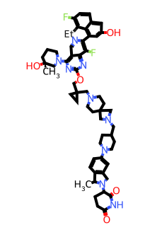 CCc1c(F)ccc2cc(O)cc(-c3ncc4c(N5CCC[C@@](C)(O)C5)nc(OCC5(CN6CCC7(CC6)CN(CC6CCN(c8ccc9c(c8)CN(C8CCC(=O)NC8=O)C9C)CC6)C7)CC5)nc4c3F)c12